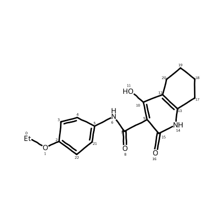 CCOc1ccc(NC(=O)c2c(O)c3c([nH]c2=O)CCCC3)cc1